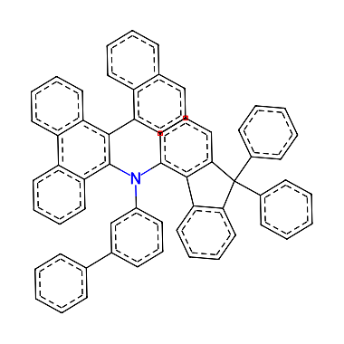 c1ccc(-c2cccc(N(c3cccc4c3-c3ccccc3C4(c3ccccc3)c3ccccc3)c3c(-c4cccc5ccccc45)c4ccccc4c4ccccc34)c2)cc1